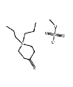 CCC[N+]1(CCC)CCC(=O)CC1.COS(=O)(=O)[O-]